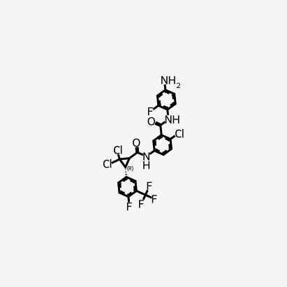 Nc1ccc(NC(=O)c2cc(NC(=O)C3[C@H](c4ccc(F)c(C(F)(F)F)c4)C3(Cl)Cl)ccc2Cl)c(F)c1